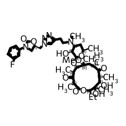 CC[C@H]1OC(=O)[C@H](C)C(=O)[C@H](C)[C@@H](O[C@@H]2O[C@H](C)C[C@H](N(C)CCc3cn(C[C@H]4CN(c5cccc(F)c5)C(=O)O4)nn3)[C@H]2O)[C@](C)(OC)C[C@@H](C)C(=O)[C@H](C)[C@@H](O)[C@]1(C)O